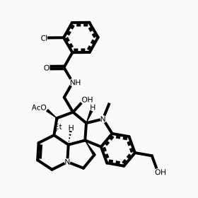 CC[C@]12C=CCN3CC[C@@]4(c5ccc(CO)cc5N(C)[C@H]4C(O)(CNC(=O)c4ccccc4Cl)[C@@H]1OC(C)=O)[C@@H]32